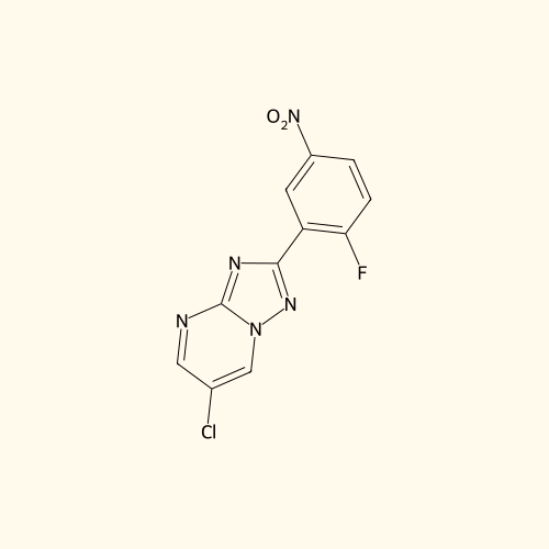 O=[N+]([O-])c1ccc(F)c(-c2nc3ncc(Cl)cn3n2)c1